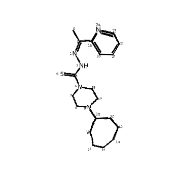 CC(=NNC(=S)N1CCN(C2CCCCCC2)CC1)c1ccccn1